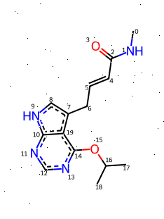 CNC(=O)/C=C/Cc1c[nH]c2ncnc(OC(C)C)c12